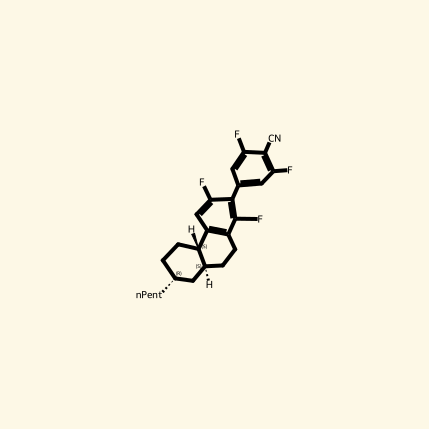 CCCCC[C@@H]1CC[C@@H]2c3cc(F)c(-c4cc(F)c(C#N)c(F)c4)c(F)c3CC[C@H]2C1